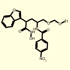 CCOCOCC(CC(C(=O)NO)c1coc2ccccc12)NC(=O)c1ccc([N+](=O)[O-])cc1